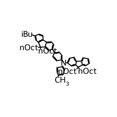 CCCCCCCCC1(CCCCCCCC)c2cc(-c3ccc(N(c4ccc(C)cc4)c4ccc5c(c4)C(CCCCCCCC)(CCCCCCCC)c4ccccc4-5)cc3)ccc2-c2ccc(C(C)CC)cc21